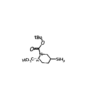 CC(C)(C)OC(=O)N1CC([SiH3])CC[C@@H]1C(=O)O